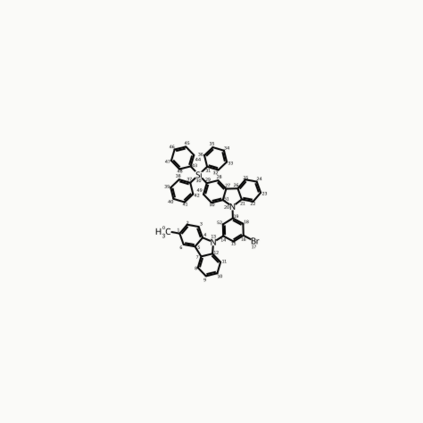 Cc1ccc2c(c1)c1ccccc1n2-c1cc(Br)cc(-n2c3ccccc3c3cc([Si](c4ccccc4)(c4ccccc4)c4ccccc4)ccc32)c1